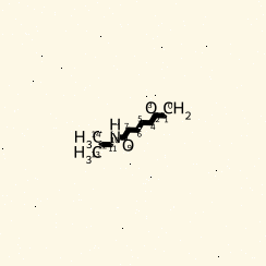 C=CC(=O)CCCCC(=O)NCC(C)C